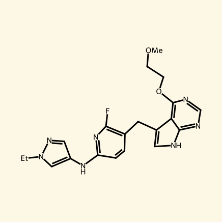 CCn1cc(Nc2ccc(Cc3c[nH]c4ncnc(OCCOC)c34)c(F)n2)cn1